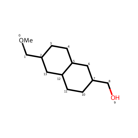 COCC1CCC2CC(CO)CCC2C1